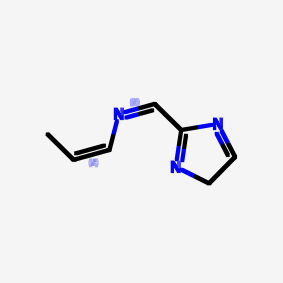 C/C=C\N=C/C1=NCC=N1